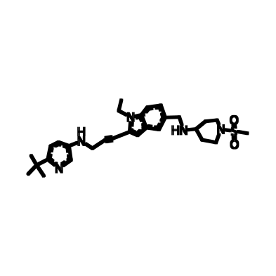 CCn1c(C#CCNc2ccc(C(C)(C)C)nc2)cc2cc(CNC3CCN(S(C)(=O)=O)CC3)ccc21